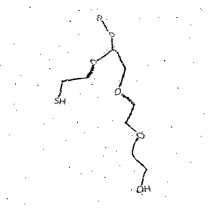 CCOC(COCCOCCO)OCCS